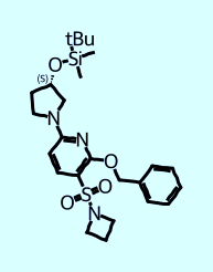 CC(C)(C)[Si](C)(C)O[C@H]1CCN(c2ccc(S(=O)(=O)N3CCC3)c(OCc3ccccc3)n2)C1